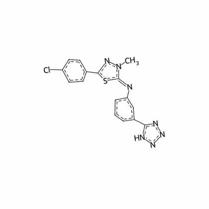 Cn1nc(-c2ccc(Cl)cc2)sc1=Nc1cccc(-c2nnn[nH]2)c1